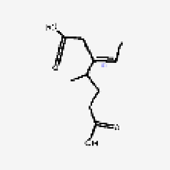 C/C=C(\CC(=O)O)C(C)CCC(=O)O